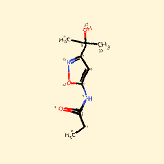 CCC(=O)Nc1cc(C(C)(C)O)no1